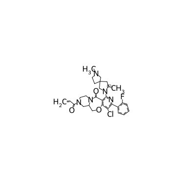 C=CC(=O)N1CCN2C(=O)c3c(N4CC5(CCN(C)C5)C[C@@H]4C)nc(-c4ccccc4F)c(Cl)c3OCC2C1